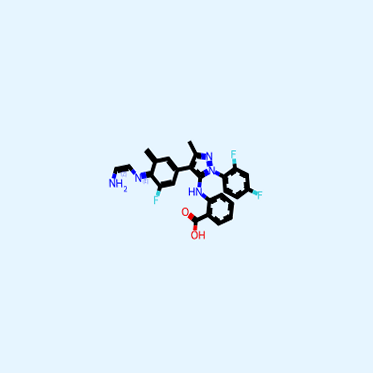 C=C1C=C(c2c(C)nn(-c3ccc(F)cc3F)c2Nc2ccccc2C(=O)O)C=C(F)/C1=N/C=C\N